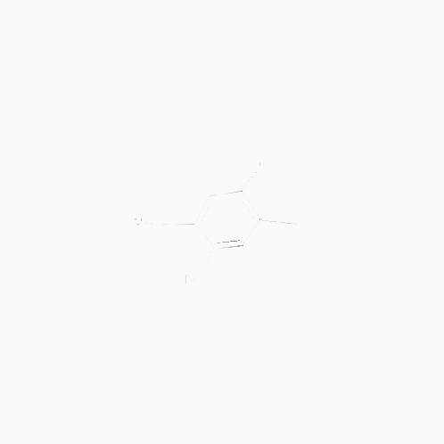 COc1cc(C)c(Cl)cc1Br